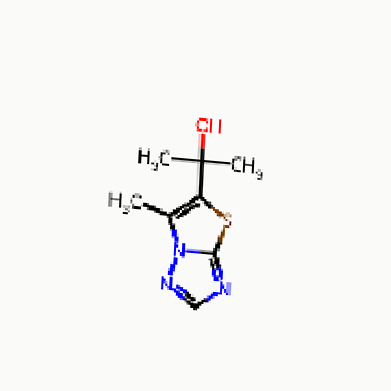 Cc1c(C(C)(C)O)sc2ncnn12